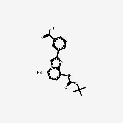 Br.CC(C)(C)OC(=O)Nc1cccn2cc(-c3cccc(C(=O)O)c3)nc12